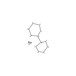 C1CCC(C2CCCCC2)CC1.[Na]